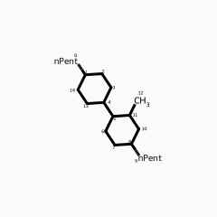 CCCCCC1CCC(C2CCC(CCCCC)CC2C)CC1